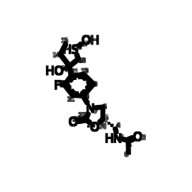 CC(=O)NC[C@H]1CN(c2ccc([C@@]3(O)CC[SH](O)C3)c(F)c2)C(=O)O1